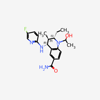 CC[C@H]1[C@H](C)[C@@H](Nc2ccc(F)cn2)c2cc(C(N)=O)ccc2N1C(C)O